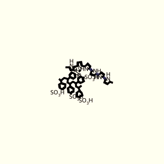 Cc1ccc(-c2ccc(C3C=C/C(=c4/cc/c(=c5/cc/c(=C6/C=CC(C)N6)[nH]5)[nH]4)N3)n2CS(=O)(=O)c2ccc(C(CC(C)c3ccc(S(=O)(=O)O)cc3)CC(CC(CC(C)c3ccc(S(=O)(=O)O)cc3)c3ccc(S(=O)(=O)O)cc3)c3ccc(S(=O)(=O)O)cc3)cc2)[nH]1